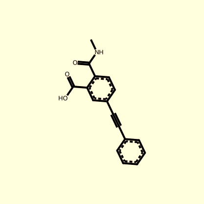 CNC(=O)c1ccc(C#Cc2ccccc2)cc1C(=O)O